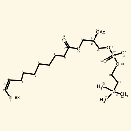 CCCCCC/C=C\CCCCCCCC(=O)OC[C@H](COP(=O)([O-])OCC[N+](C)(C)C)OC(C)=O